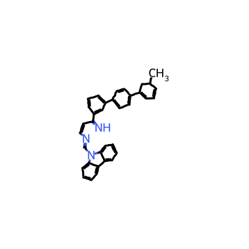 CC1C=CC=C(c2ccc(-c3cccc(C(=N)/C=C\N=C\n4c5ccccc5c5ccccc54)c3)cc2)C1